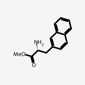 COC(=O)[C@H](N)Cc1ccc2ccccc2c1